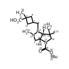 CN1C[C@@H]2[C@H](N1CC1CC(C)(C(=O)O)C1)C(C)(F)CN2C(=O)OC(C)(C)C